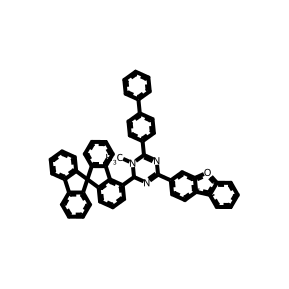 CN1C(c2ccc(-c3ccccc3)cc2)=NC(c2ccc3c(c2)oc2ccccc23)=NC1c1cccc2c1-c1ccccc1C21c2ccccc2-c2ccccc21